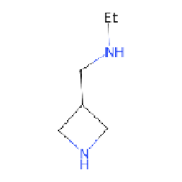 CCNCC1CNC1